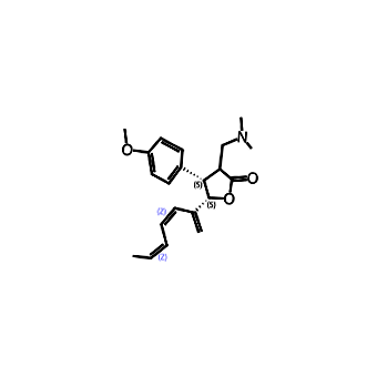 C=C(/C=C\C=C/C)[C@H]1OC(=O)C(CN(C)C)[C@H]1c1ccc(OC)cc1